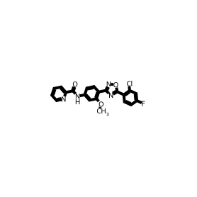 COc1cc(NC(=O)c2ccccn2)ccc1-c1noc(-c2ccc(F)cc2Cl)n1